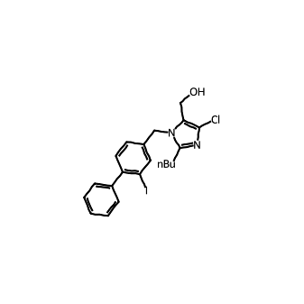 CCCCc1nc(Cl)c(CO)n1Cc1ccc(-c2ccccc2)c(I)c1